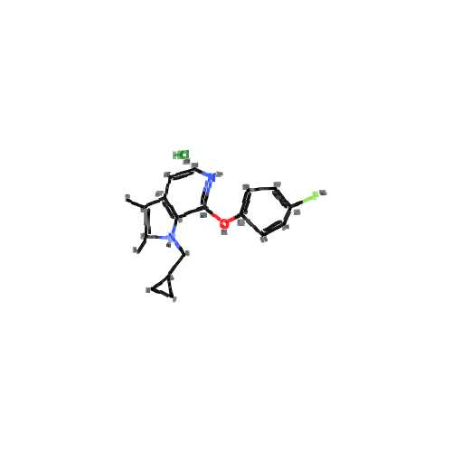 Cc1c(C)n(CC2CC2)c2c(Oc3ccc(F)cc3)nccc12.Cl